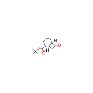 CC(C)(C)OC(=O)N1CCC[C@H]2C(=O)C[C@H]21